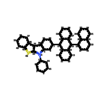 c1ccc(-n2c3cc(-c4c5ccccc5c(-c5cccc6ccccc56)c5ccccc45)ccc3c3c4ccccc4sc32)cc1